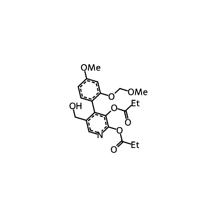 CCC(=O)Oc1ncc(CO)c(-c2ccc(OC)cc2OCOC)c1OC(=O)CC